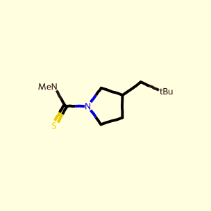 CNC(=S)N1CCC(CC(C)(C)C)C1